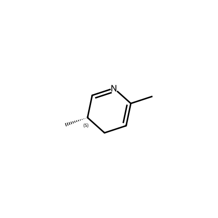 CC1=CC[C@H](C)C=N1